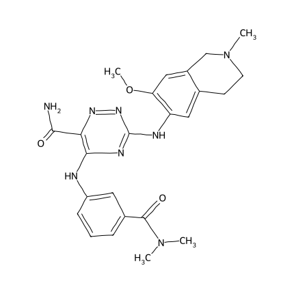 COc1cc2c(cc1Nc1nnc(C(N)=O)c(Nc3cccc(C(=O)N(C)C)c3)n1)CCN(C)C2